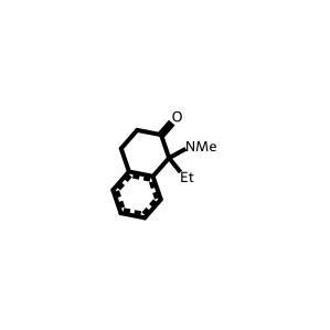 CCC1(NC)C(=O)CCc2ccccc21